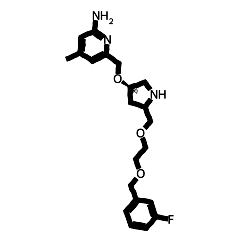 Cc1cc(N)nc(CO[C@H]2CNC(COCCOCc3cccc(F)c3)C2)c1